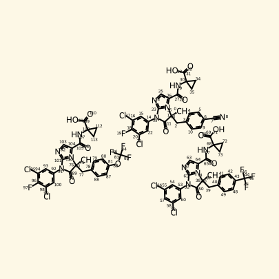 C[C@@]1(Cc2ccc(C#N)cc2)C(=O)N(c2cc(Cl)c(F)c(Cl)c2)c2ncc(C(=O)NC3(C(=O)O)CC3)n21.C[C@@]1(Cc2ccc(C(F)(F)F)cc2)C(=O)N(c2cc(Cl)cc(Cl)c2)c2ncc(C(=O)NC3(C(=O)O)CC3)n21.C[C@@]1(Cc2ccc(OC(F)(F)F)cc2)C(=O)N(c2cc(Cl)c(F)c(Cl)c2)c2ncc(C(=O)NC3(C(=O)O)CC3)n21